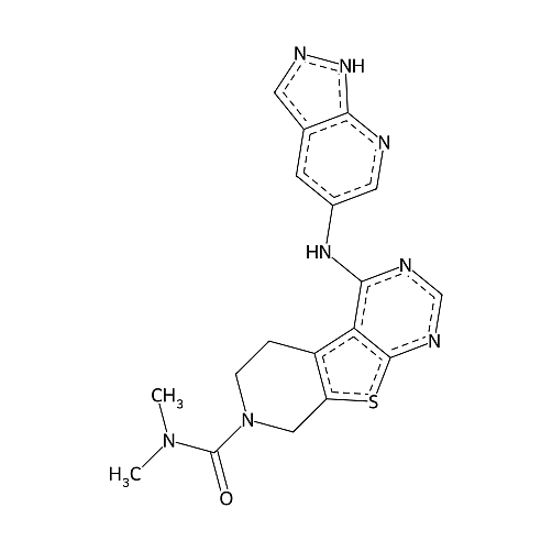 CN(C)C(=O)N1CCc2c(sc3ncnc(Nc4cnc5[nH]ncc5c4)c23)C1